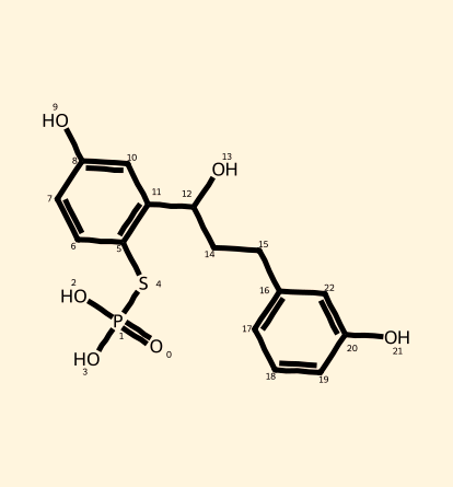 O=P(O)(O)Sc1ccc(O)cc1C(O)CCc1cccc(O)c1